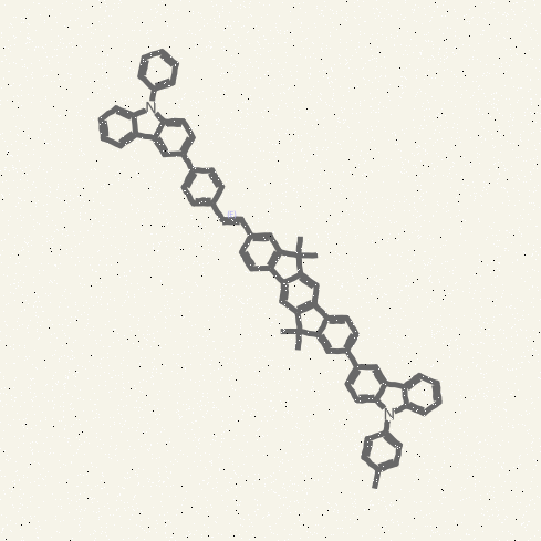 Cc1ccc(-n2c3ccccc3c3cc(-c4ccc5c(c4)C(C)(C)c4cc6c(cc4-5)C(C)(C)c4cc(/C=C/c5ccc(-c7ccc8c(c7)c7ccccc7n8-c7ccccc7)cc5)ccc4-6)ccc32)cc1